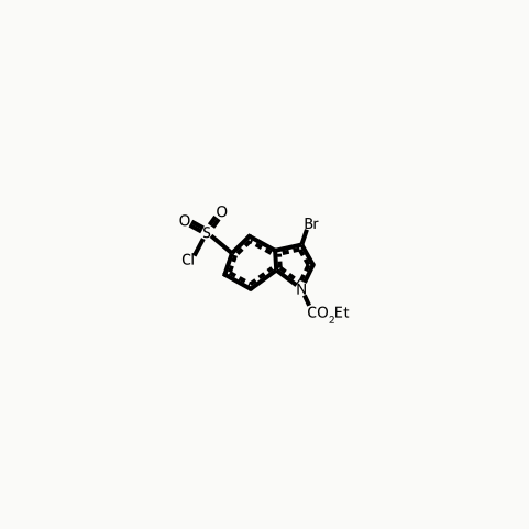 CCOC(=O)n1cc(Br)c2cc(S(=O)(=O)Cl)ccc21